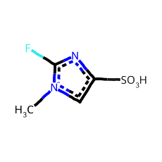 Cn1cc(S(=O)(=O)O)nc1F